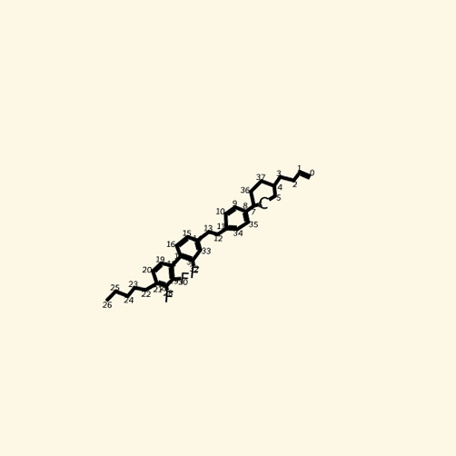 C=CCCC1CCC(c2ccc(CCc3ccc(-c4ccc(CCCCC)c(F)c4F)c(F)c3)cc2)CC1